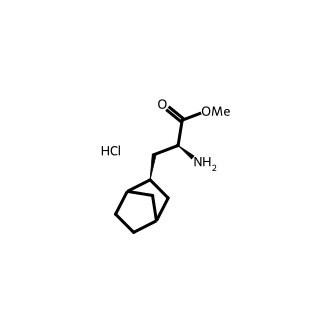 COC(=O)[C@@H](N)C[C@H]1CC2CCC1C2.Cl